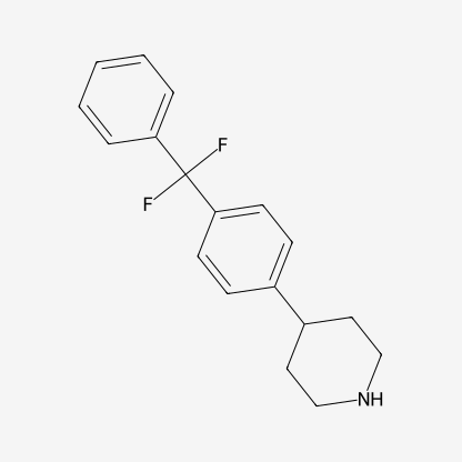 FC(F)(c1ccccc1)c1ccc(C2CCNCC2)cc1